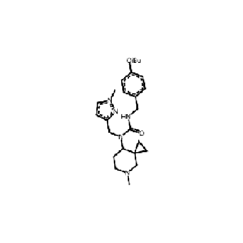 CC(C)COc1ccc(CNC(=O)N(Cc2ccn(C)n2)C2CCN(C)CC23CC3)cc1